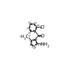 Cc1csc(N)c1C(=O)c1ccccc1Cl